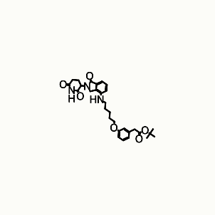 CC(C)(C)OC(=O)Cc1cccc(OCCCCCNc2cccc3c2CN(C2CCC(=O)NC2=O)C3=O)c1